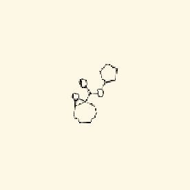 O=C(OC1CCCC1)C12CCCCCC1O2